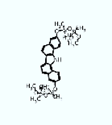 CO[Si](C)(C)O[Si](C)(C)Oc1ccc2c(ccc3c4ccc5cc(O[Si](C)(C)O[Si](C)(C)OC)ccc5c4[nH]c23)c1